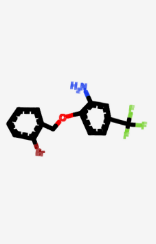 Nc1cc(C(F)(F)F)ccc1OCc1ccccc1Br